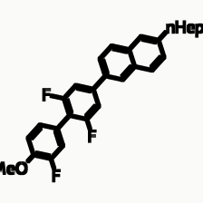 CCCCCCCc1ccc2cc(-c3cc(F)c(-c4ccc(OC)c(F)c4)c(F)c3)ccc2c1